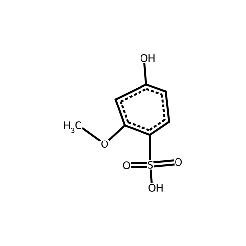 COc1cc(O)ccc1S(=O)(=O)O